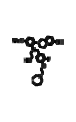 COc1ccc(C2CCc3cc(O)ccc3C2)c(N(CCO)Cc2ccc(OCCN3CCCCCC3)c(F)c2)c1